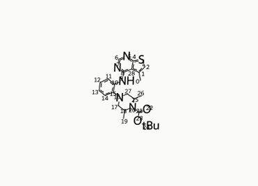 Cc1csc2ncnc(Nc3ccccc3N3CC(C)N(C(=O)OC(C)(C)C)C(C)C3)c12